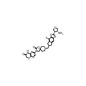 N[C@H]1COC[C@@H]1c1nc2cc3c(c(F)c2o1)CC(CN1CCC2(CC1)CN(c1cnc4c(n1)NC(=O)CO4)C(=O)O2)C3